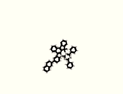 CC1(C)c2ccccc2-c2c1c1c(c3ccccc23)c2cc(-c3ccc4ccccc4c3)ccc2n1-c1nc(-c2ccccc2)nc(-c2ccccc2)n1